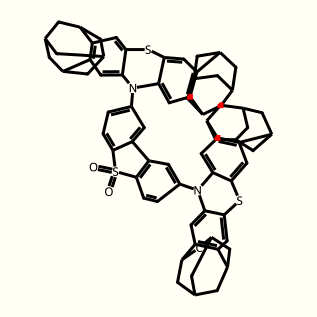 O=S1(=O)c2ccc(N3c4cc5c(cc4Sc4cc6c(cc43)C3CC4CC(CC6C4)C3)C3CC4CC(C3)CC5C4)cc2-c2cc(N3c4cc5c(cc4Sc4cc6c(cc43)C3CC4CC(CC6C4)C3)C3CC4CC(C3)CC5C4)ccc21